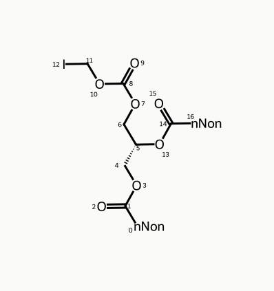 CCCCCCCCCC(=O)OC[C@H](COC(=O)OCI)OC(=O)CCCCCCCCC